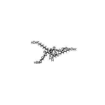 CCCCCCCCCCCCCCCCCCOC(=O)C[CH](S)[Sn][CH](S)C(CCC(=O)OCCOCCOCCCC)(CCC(=O)OCCOCCOCCCC)C(=O)OCCCCCCCCCCCCCCCCCC